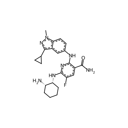 Cn1nc(C2CC2)c2cc(Nc3nc(N[C@@H]4CCCC[C@@H]4N)c(F)cc3C(N)=O)ccc21